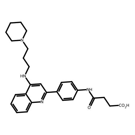 O=C(O)CCC(=O)Nc1ccc(-c2cc(NCCCN3CCCCC3)c3ccccc3n2)cc1